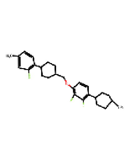 CCCC1CCC(c2ccc(OCC3CCC(c4ccc(C)cc4F)CC3)c(F)c2F)CC1